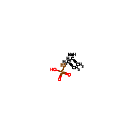 C=C.C=C.O=S(=O)(O)S.[NaH]